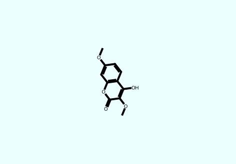 COc1ccc2c(O)c(OC)c(=O)oc2c1